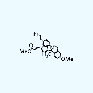 COC(=O)/C=C/c1ccc(C2(C)c3ccc(OC)cc3CCN2c2ccc(CCC(C)C)cc2)cc1